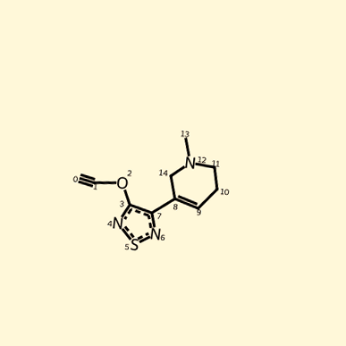 C#COc1nsnc1C1=CCCN(C)C1